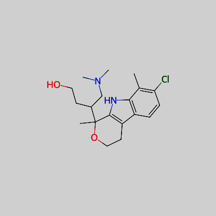 Cc1c(Cl)ccc2c3c([nH]c12)C(C)(C(CCO)CN(C)C)OCC3